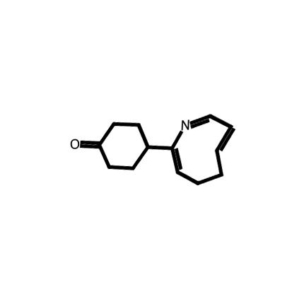 O=C1CCC(C2=C/CC/C=C/C=N\2)CC1